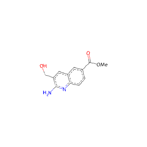 COC(=O)c1ccc2nc(N)c(CO)cc2c1